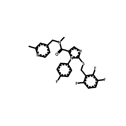 Cc1cc(CN(C)C(=O)c2cnc(SCc3c(F)ccc(F)c3F)n2-c2ccc(F)cc2)ccn1